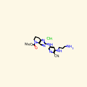 COC(=O)N1CCCc2nc(Nc3cnc(C#N)c(NCCCN)c3)ncc21.Cl